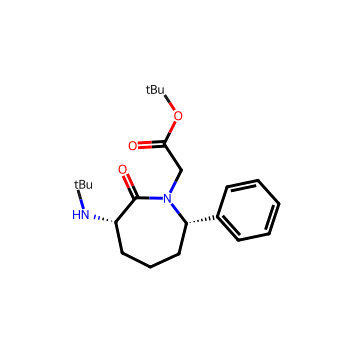 CC(C)(C)N[C@H]1CCC[C@@H](c2ccccc2)N(CC(=O)OC(C)(C)C)C1=O